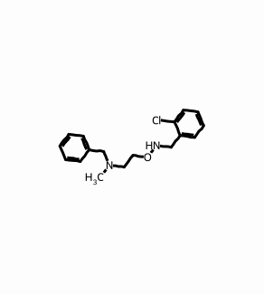 CN(CCONCc1ccccc1Cl)Cc1ccccc1